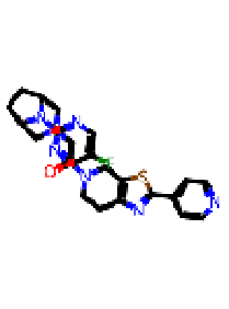 O=C(CN1CC2CCC(C1)N2c1ncc(F)cn1)N1CCc2nc(-c3ccncc3)sc2C1